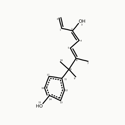 C=C/C(O)=C\C=C(/C)C(C)(C)c1ccc(O)cc1